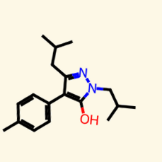 Cc1ccc(-c2c(CC(C)C)nn(CC(C)C)c2O)cc1